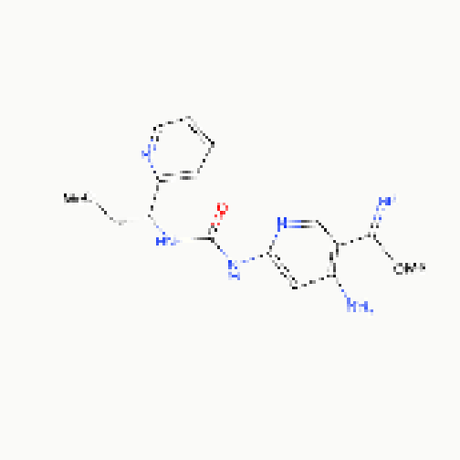 COC[C@@H](NC(=O)Nc1cc(N)c(C(=N)OC)cn1)c1ccccn1